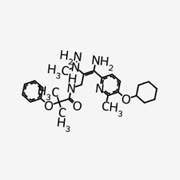 Cc1nc(/C(N)=C(\CNC(=O)C(C)(C)Oc2ccccc2)N(C)N)ccc1OC1CCCCC1